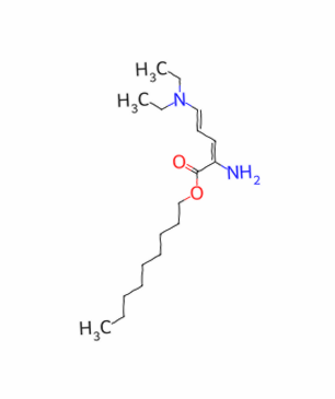 CCCCCCCCCOC(=O)/C(N)=C\C=C\N(CC)CC